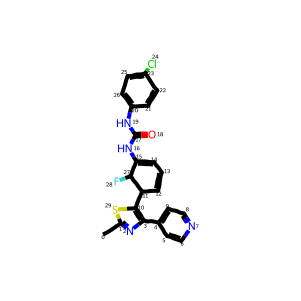 Cc1nc(-c2ccncc2)c(C2C=CC=C(NC(=O)Nc3ccc(Cl)cc3)C2F)s1